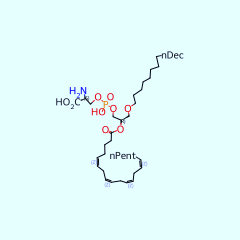 CCCCC/C=C\C/C=C\C/C=C\C/C=C\CCCC(=O)O[C@H](COCCCCCCCCCCCCCCCCCC)COP(=O)(O)OC[C@H](N)C(=O)O